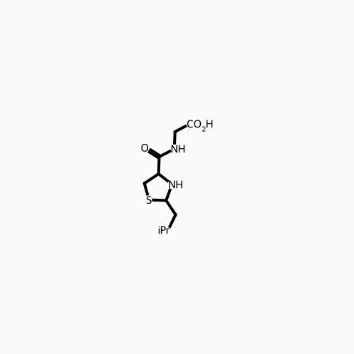 CC(C)CC1NC(C(=O)NCC(=O)O)CS1